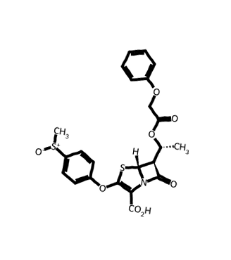 C[C@@H](OC(=O)COc1ccccc1)[C@H]1C(=O)N2C(C(=O)O)=C(Oc3ccc([S+](C)[O-])cc3)S[C@H]12